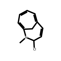 CN1C2=CC=CC=C(C=CC1Cl)C2